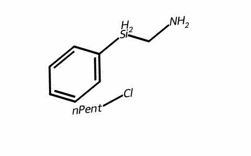 CCCCCCl.NC[SiH2]c1ccccc1